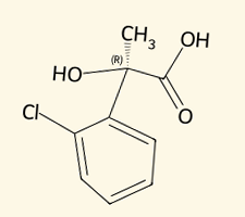 C[C@](O)(C(=O)O)c1ccccc1Cl